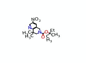 CCC(C)(C)OC(=O)N1Cc2cc([N+](=O)[O-])cnc2C(C)(C)C1